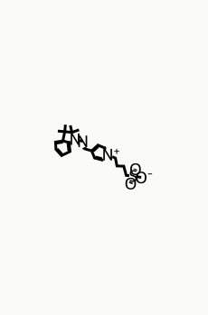 CC1(C)c2ccccc2N(/N=C/c2cc[n+](CCCCS(=O)(=O)[O-])cc2)C1(C)C